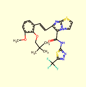 COc1cccc(/C=C/c2nc3sccn3c2C(=O)Nc2nnc(C(F)(F)F)s2)c1OCC(C)(C)C